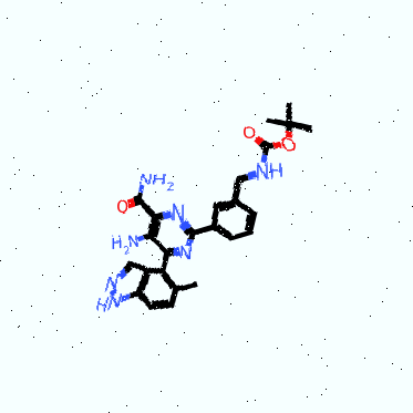 Cc1ccc2[nH]ncc2c1-c1nc(-c2cccc(CNC(=O)OC(C)(C)C)c2)nc(C(N)=O)c1N